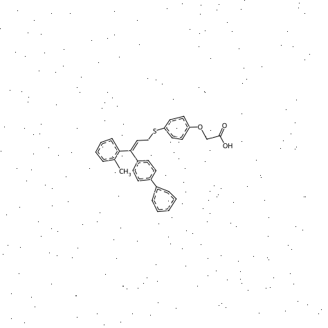 Cc1ccccc1/C(=C/CSc1ccc(OCC(=O)O)cc1)c1ccc(-c2ccccc2)cc1